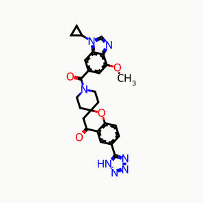 COc1cc(C(=O)N2CCC3(CC2)CC(=O)c2cc(-c4nnn[nH]4)ccc2O3)cc2c1ncn2C1CC1